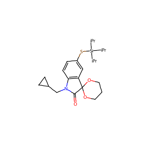 CC(C)[Si](Sc1ccc2c(c1)C1(OCCCO1)C(=O)N2CC1CC1)(C(C)C)C(C)C